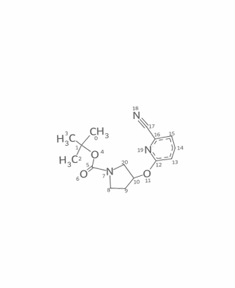 CC(C)(C)OC(=O)N1CCC(Oc2cccc(C#N)n2)C1